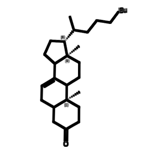 CCC(C)CCCC(C)[C@H]1CCC2C3=CCC4CC(=O)CC[C@]4(C)C3CC[C@@]21C